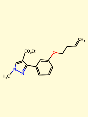 C=CCCOc1cccc(-c2nn(C)cc2C(=O)OCC)c1